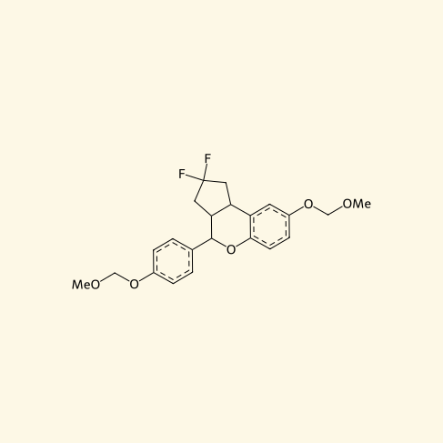 COCOc1ccc(C2Oc3ccc(OCOC)cc3C3CC(F)(F)CC32)cc1